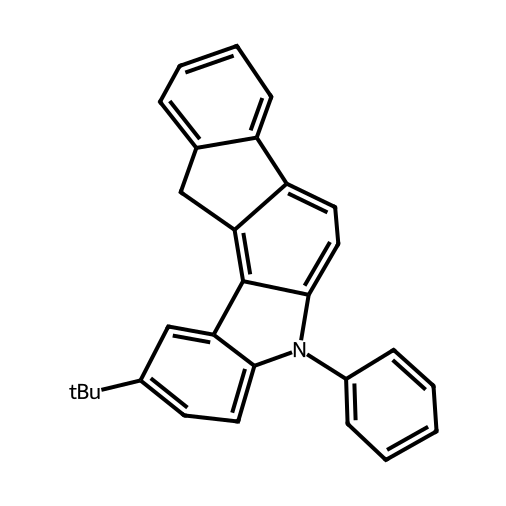 CC(C)(C)c1ccc2c(c1)c1c3c(ccc1n2-c1ccccc1)-c1ccccc1C3